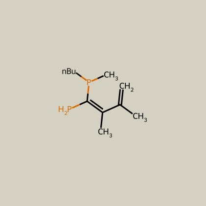 C=C(C)/C(C)=C(/P)P(C)CCCC